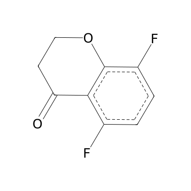 O=C1CCOc2c(F)ccc(F)c21